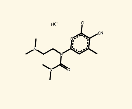 Cc1cc(N(CCN(C)C)C(=O)N(C)C)nc(Cl)c1C#N.Cl